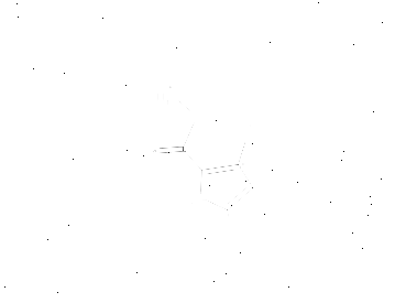 COC(=[Se])c1sccc1Cl